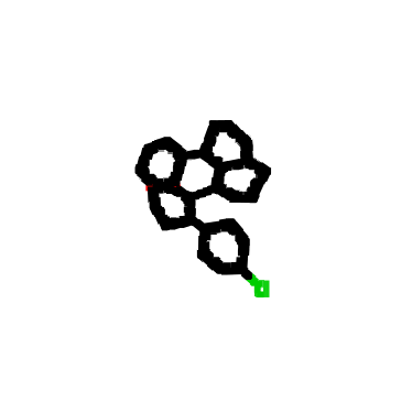 Clc1ccc(-c2ccccc2-c2cccc3cccc(-c4ccccc4)c23)cc1